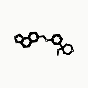 COC1(c2cccc(OCc3ccc4c(ccc5nncn54)c3)c2)CCOCC1